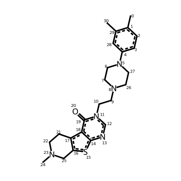 Cc1ccc(N2CCN(CCn3cnc4sc5c(c4c3=O)CCN(C)C5)CC2)cc1C